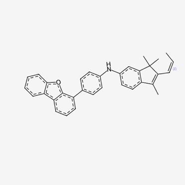 C/C=C\C1=C(C)c2ccc(Nc3ccc(-c4cccc5c4oc4ccccc45)cc3)cc2C1(C)C